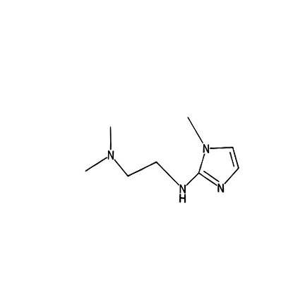 CN(C)CCNc1nccn1C